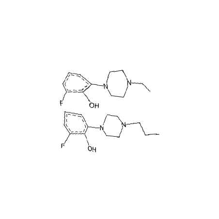 CCCN1CCN(c2cccc(F)c2O)CC1.CCN1CCN(c2cccc(F)c2O)CC1